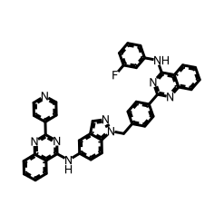 Fc1cccc(Nc2nc(-c3ccc(Cn4ncc5cc(Nc6nc(-c7ccncc7)nc7ccccc67)ccc54)cc3)nc3ccccc23)c1